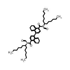 CCCCCCC(CCCCCC)N(C=O)C(=O)c1ccc(-c2ccc(C(=O)N(C=O)C(CCCCCC)CCCCCC)c3c2=CCCC=3)c2c1=CCCC=2